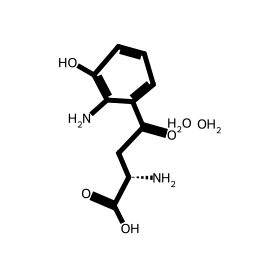 Nc1c(O)cccc1C(=O)C[C@H](N)C(=O)O.O.O